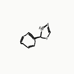 C1=NNC(c2ccccc2)S1